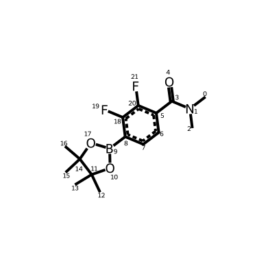 CN(C)C(=O)c1ccc(B2OC(C)(C)C(C)(C)O2)c(F)c1F